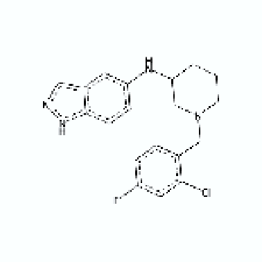 Fc1ccc(CN2CCCC(Nc3ccc4[nH]ncc4c3)C2)c(Cl)c1